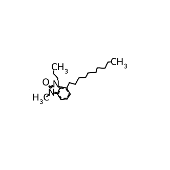 CCCCCCCCCCc1cccc2c1n(CCC)c(=O)n2C